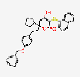 O=C1OC(CCc2ccc(OCc3ccccc3)cc2)(C2CCCC2)CC(O)=C1Sc1cccc2ccccc12